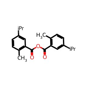 Cc1ccc(C(C)C)cc1C(=O)OC(=O)c1cc(C(C)C)ccc1C